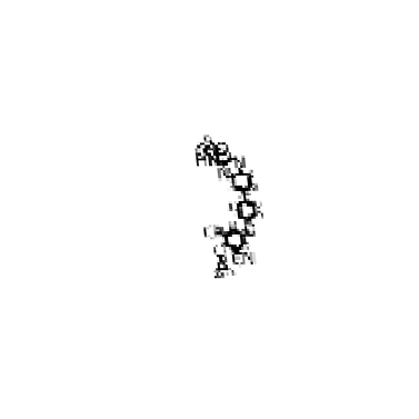 CS(=O)(=O)Nc1cnc2ccc(-c3ccc(Oc4cc(Cl)c(OC5CC5)c(C#N)c4)cc3)cc2n1